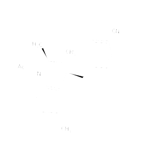 CC(=O)N1c2ccc(C)cc2[C@H](Cc2ccc(C#N)cc2)[C@@H](C)[C@@H]1C